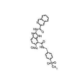 COc1ccc2nc(NC(=O)c3cc4ccccc4cn3)[nH]c2c1C(=O)NCc1ccc(S(C)(=O)=O)cc1